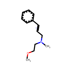 COCCN(C)C/C=C/c1ccccc1